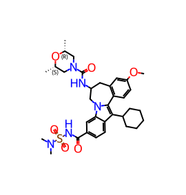 COc1ccc2c(c1)CC(NC(=O)N1C[C@@H](C)O[C@@H](C)C1)Cn1c-2c(C2CCCCC2)c2ccc(C(=O)NS(=O)(=O)N(C)C)cc21